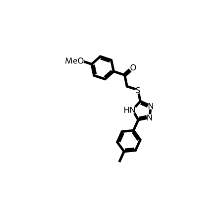 COc1ccc(C(=O)CSc2nnc(-c3ccc(C)cc3)[nH]2)cc1